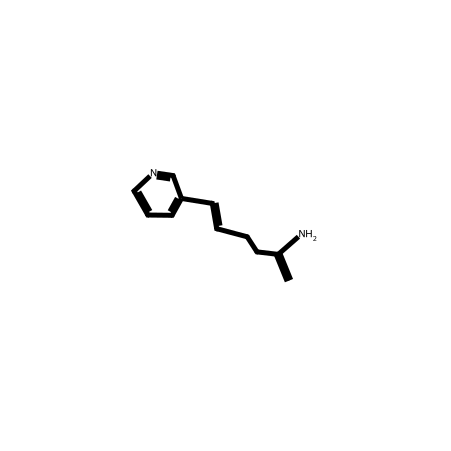 C=C(N)CC/C=C/c1cccnc1